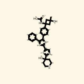 CC1(O)CC(NC(=O)O)(c2ccc(-c3nc(-c4cnc(C5(O)CCOCC5)s4)sc3-c3ccccc3)cc2)C1